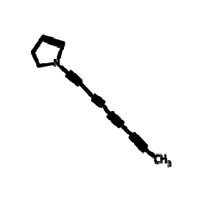 CC#CC#CC#CC#CN1C=CCC1